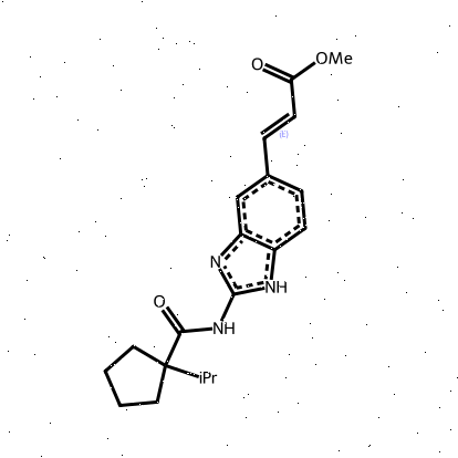 COC(=O)/C=C/c1ccc2[nH]c(NC(=O)C3(C(C)C)CCCC3)nc2c1